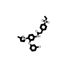 CCS(=O)(=O)c1ccc(CC(=O)Nc2ccc(-n3ccc(C)n3)c(Oc3cccc(Cl)c3)c2)cc1